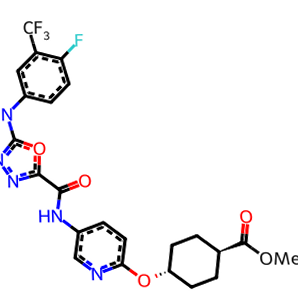 COC(=O)[C@H]1CC[C@H](Oc2ccc(NC(=O)c3nnc(Nc4ccc(F)c(C(F)(F)F)c4)o3)cn2)CC1